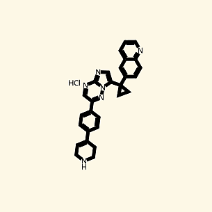 C1=C(c2ccc(-c3cnc4ncc(C5(c6ccc7ncccc7c6)CC5)n4n3)cc2)CCNC1.Cl